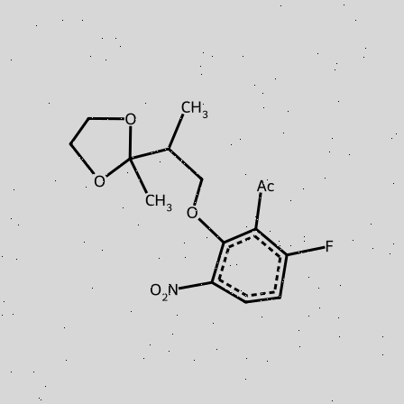 CC(=O)c1c(F)ccc([N+](=O)[O-])c1OCC(C)C1(C)OCCO1